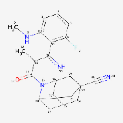 CNc1cccc(F)c1C(=N)C(C)C(=O)N1C2CC3CC1CC(C#N)(C3)C2